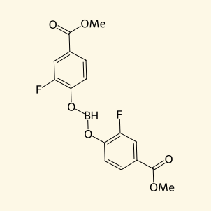 COC(=O)c1ccc(OBOc2ccc(C(=O)OC)cc2F)c(F)c1